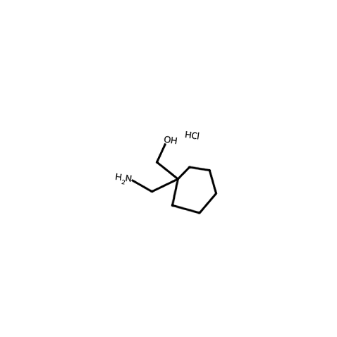 Cl.NCC1(CO)CCCCC1